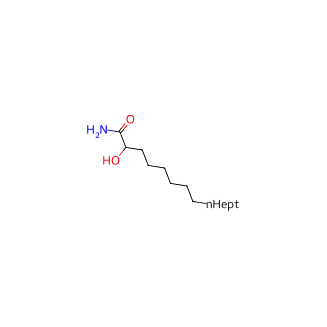 CCCCCCCCCCCCCC(O)C(N)=O